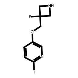 FC1(COc2ccc(I)nc2)CNC1